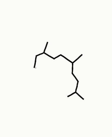 [CH2]CC(C)CCC(C)CCC(C)C